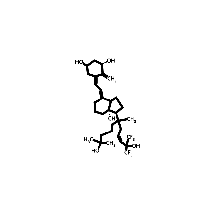 C=C1/C(=C\C=C2/CCC[C@@]3(C)C2CCC3C(C)(C/C=C\C(O)(C(F)(F)F)C(F)(F)F)CCCC(C)(C)O)CC(O)C[C@@H]1O